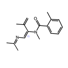 C=C(C)/C(=C\N=C(C)C)N(C)C(=O)c1ccccc1C